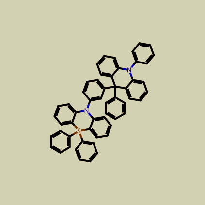 c1ccc(N2c3ccccc3C(c3ccccc3)(c3cccc(N4c5ccccc5S(c5ccccc5)(c5ccccc5)c5ccccc54)c3)c3ccccc32)cc1